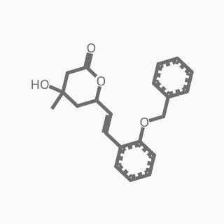 CC1(O)CC(=O)OC(C=Cc2ccccc2OCc2ccccc2)C1